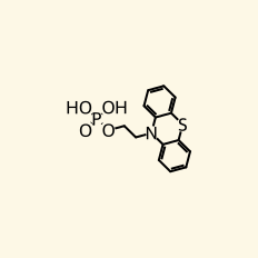 O=P(O)(O)OCCN1c2ccccc2Sc2ccccc21